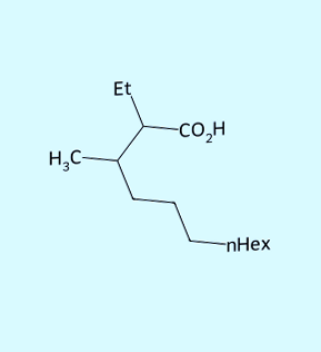 CCCCCCCCCC(C)C(CC)C(=O)O